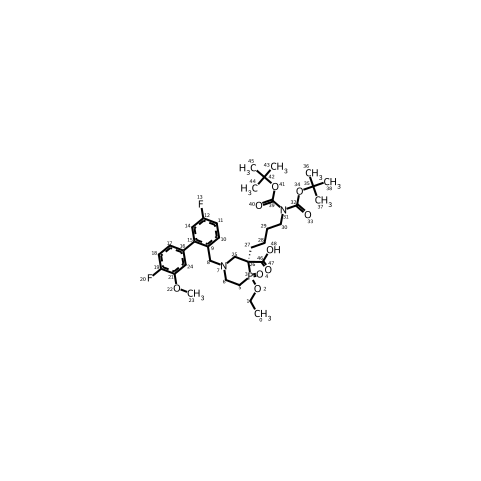 CCOP1(=O)CCN(Cc2ccc(F)cc2-c2ccc(F)c(OC)c2)C[C@@]1(CCCCN(C(=O)OC(C)(C)C)C(=O)OC(C)(C)C)C(=O)O